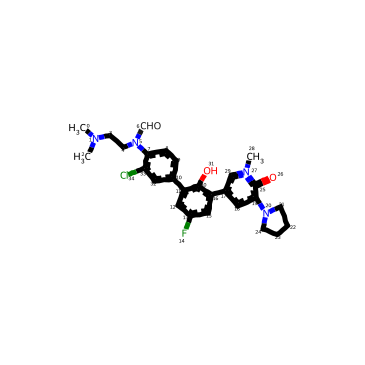 CN(C)CCN(C=O)c1ccc(-c2cc(F)cc(-c3cc(N4CCCC4)c(=O)n(C)c3)c2O)cc1Cl